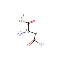 N[C@@H](CC(=O)O)C(=O)O.[Li]